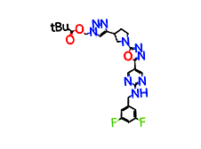 CC(C)(C)C(=O)OCn1cc(C2CCN(c3nnc(-c4cnc(NCc5cc(F)cc(F)c5)nc4)o3)C2)nn1